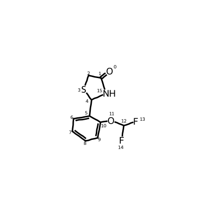 O=C1CSC(c2ccccc2OC(F)F)N1